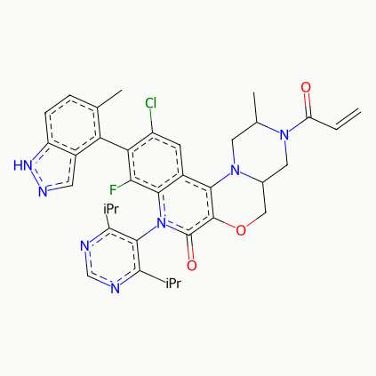 C=CC(=O)N1CC2COc3c(c4cc(Cl)c(-c5c(C)ccc6[nH]ncc56)c(F)c4n(-c4c(C(C)C)ncnc4C(C)C)c3=O)N2CC1C